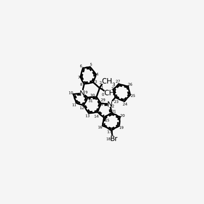 CC1(C)c2ccccc2-n2ccc3cc4c5cc(Br)ccc5n(-c5ccccc5)c4c1c32